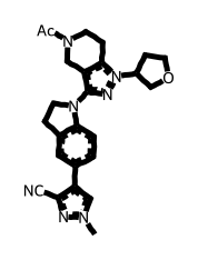 CC(=O)N1CCc2c(c(N3CCc4cc(-c5cn(C)nc5C#N)ccc43)nn2C2CCOC2)C1